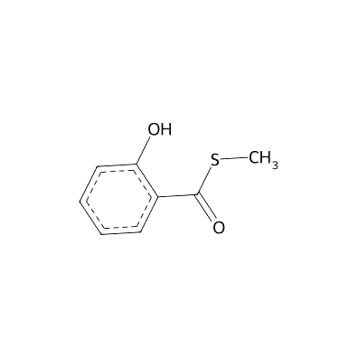 CSC(=O)c1ccccc1O